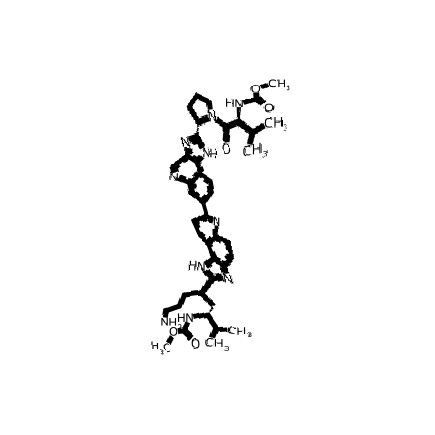 COC(=O)N[C@H](C(=O)N1CCC[C@H]1c1nc2cnc3cc(-c4ccc5c(ccc6nc(C(CCCN)C[C@@H](NC(=O)OC)C(C)C)[nH]c65)n4)ccc3c2[nH]1)C(C)C